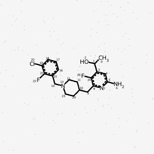 CC(O)c1cc(N)nc(CC2CCN(Cc3cccc(Cl)c3F)CC2)c1F